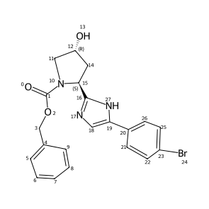 O=C(OCc1ccccc1)N1C[C@H](O)C[C@H]1c1ncc(-c2ccc(Br)cc2)[nH]1